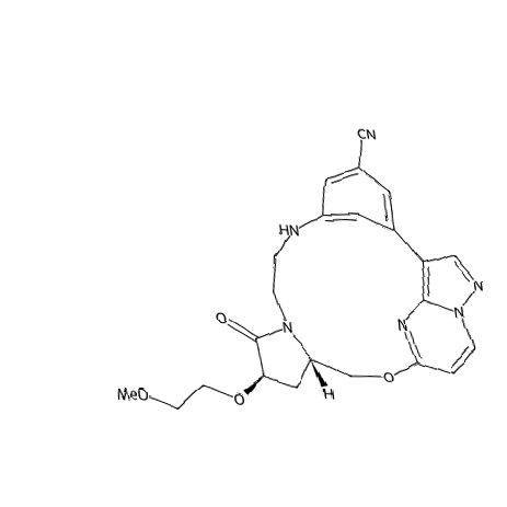 COCCO[C@@H]1C[C@H]2COc3ccn4ncc(c4n3)-c3cc(C#N)cc(c3)NCCN2C1=O